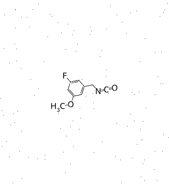 COc1cc(F)cc(CN=C=O)c1